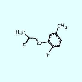 Cc1ccc(F)c(OCC(C)F)c1